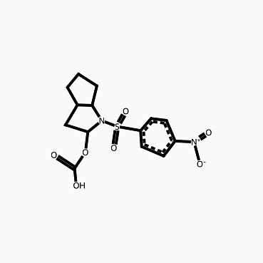 O=C(O)OC1CC2CCCC2N1S(=O)(=O)c1ccc([N+](=O)[O-])cc1